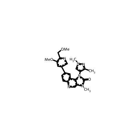 COCc1ncc(-c2ccc3ncc4c(c3c2)n(-c2cn(C)nc2C)c(=O)n4C)cc1OC